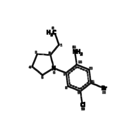 CCC1CCCN1c1cc(Cl)c(Br)cc1N